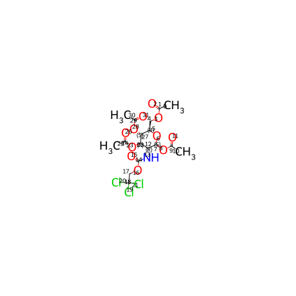 CC(=O)OC[C@H]1O[C@@H](OC(C)=O)[C@H](NC(=O)OCC(Cl)(Cl)Cl)[C@@H](OC(C)=O)[C@@H]1OC(C)=O